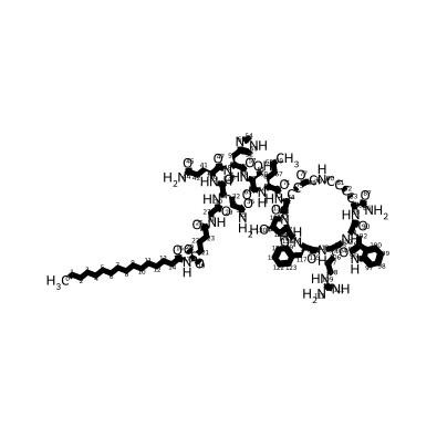 CCCCCCCCCCCCCCCC(=O)NS(=O)(=O)CCCC(=O)NCC(=O)N[C@@H](CCC(N)=O)C(=O)N[C@@H](CCC(N)=O)C(=O)N[C@@H](Cc1c[nH]cn1)C(=O)N[C@@H](CO)C(=O)N[C@@H](CCCC)C(=O)N[C@H]1CCC(=O)CNCCCC[C@@H](C(N)=O)NC(=O)[C@H](Cc2c[nH]c3ccccc23)NC(=O)[C@H](CCCNC(=N)N)NC(=O)[C@@H](Cc2ccccc2)NC(=O)[C@@H]2C[C@@H](O)CN2C1=O